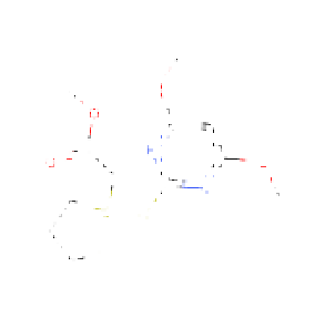 COC(=O)CS1(Sc2nc(OC)cc(OC)n2)CCCS1